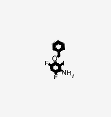 Nc1c(F)cc(F)c(OCc2ccccc2)c1I